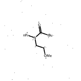 CCCN(CCOC)C(=O)C(C)(C)C